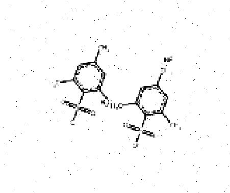 Cc1cc(C)c(S(=O)(=O)[O-])c(C)c1.Cc1cc(C)c(S(=O)(=O)[O-])c(C)c1.[Ni+2]